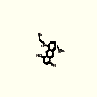 CNC.OCCNc1cccc2cc3c(O)ccc(O)c3cc12